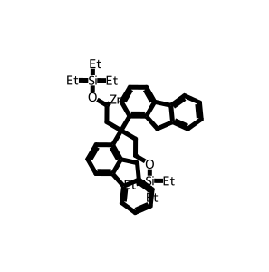 CC[Si](CC)(CC)OCCC(C[CH]([Zr])O[Si](CC)(CC)CC)(c1cccc2c1Cc1ccccc1-2)c1cccc2c1Cc1ccccc1-2